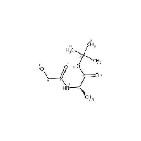 C[C@@H](NC(=O)C[O])C(=O)OC(C)(C)C